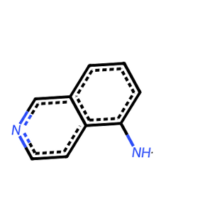 [NH]c1cccc2cnccc12